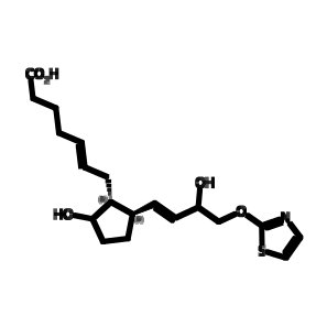 O=C(O)CCCC=CC[C@H]1C(O)CC[C@@H]1C=CC(O)COc1nccs1